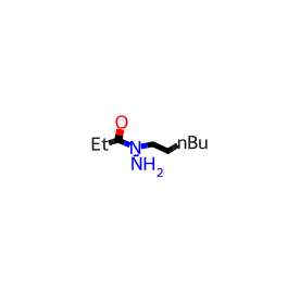 CCCCCCN(N)C(=O)CC